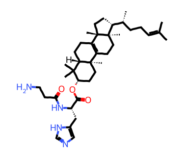 CC(C)=CCC[C@@H](C)[C@H]1CC[C@@]2(C)C3=C(CC[C@]12C)[C@@]1(C)CC[C@H](OC(=O)[C@H](Cc2cnc[nH]2)NC(=O)CCN)C(C)(C)[C@@H]1CC3